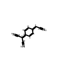 N#CC=c1ccc(=C(C#N)C#N)cc1